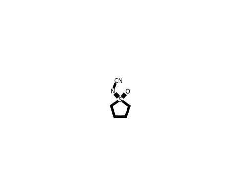 N#CN=S1(=O)CCCC1